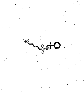 CC(C)(CNS(=O)(=O)CCCCCO)c1ccccc1